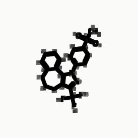 CS(=O)(=O)c1ccc(-n2nc(C(F)(F)F)c3c2-c2ccccc2CCC3)nc1